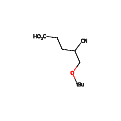 CC(C)(C)OCC(C#N)CCC(=O)O